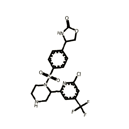 O=C1NC(c2ccc(S(=O)(=O)N3CCNCC3c3cc(C(F)(F)F)cc(Cl)n3)cc2)CO1